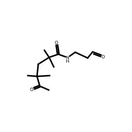 CC(=O)C(C)(C)CC(C)(C)C(=O)NCCC=O